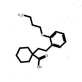 CCCCOc1ccccc1CCC1(C(=O)O)CCCCC1